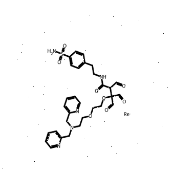 NS(=O)(=O)c1ccc(CCNC(=O)C(C=O)C(C=O)(C=O)OCCOCCN(Cc2ccccn2)Cc2ccccn2)cc1.[Re]